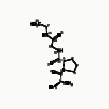 CC(C)[C@H](N)C(=O)N1CCC[C@H]1C(=O)NCC(=O)NCC(=O)O